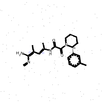 C=N/C(N)=C(C)\C=C(/C)NC(=O)C(=O)N1CCCC[C@@H]1c1cccc(C)c1